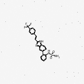 NS(=O)(=O)Nc1ccccc1-c1ccc2[nH]c(C=Cc3ccc(C(F)(F)F)cc3)nc2c1